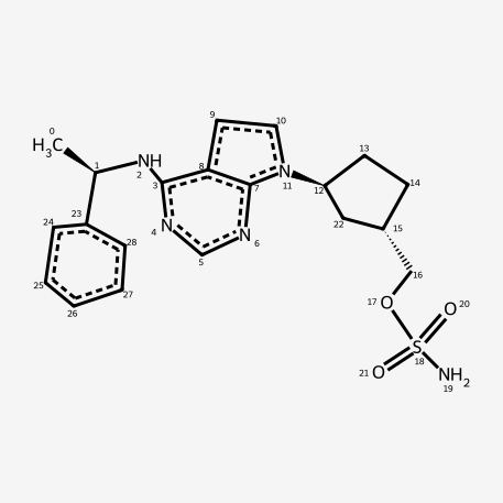 C[C@@H](Nc1ncnc2c1ccn2[C@H]1CC[C@H](COS(N)(=O)=O)C1)c1ccccc1